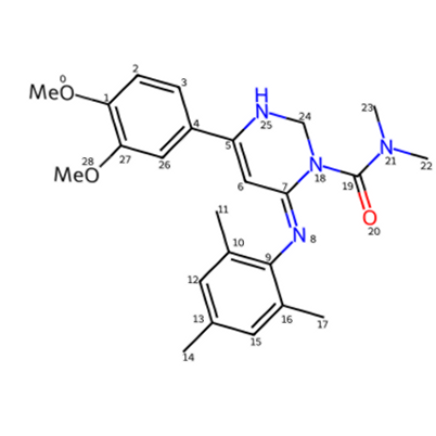 COc1ccc(C2=CC(=Nc3c(C)cc(C)cc3C)N(C(=O)N(C)C)CN2)cc1OC